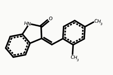 Cc1ccc(/C=C2\C(=O)Nc3ccccc32)c(C)c1